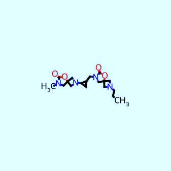 CCCN1CC2(C1)CN(CC1CC1N1CC3(CN(C)C(=O)O3)C1)C(=O)O2